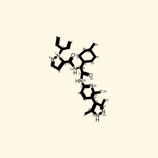 C=CC(C=C)n1nccc1C(=O)N[C@H](C(=O)Nc1ccc(-c2c(C)n[nH]c2C)c(F)n1)C1CCC(C)CC1